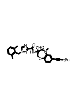 Cc1cccc(C)c1Cn1cnc(C(=O)NC2(C=O)COc3ccc(C#CC(C)(C)C)cc3N(C)C2)n1